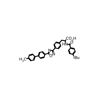 Cc1ccc(-c2ccc(-c3nc(-c4ccc(CC(NC(=O)c5ccc(C(C)(C)C)cc5)C(=O)O)cc4)no3)cc2)cc1